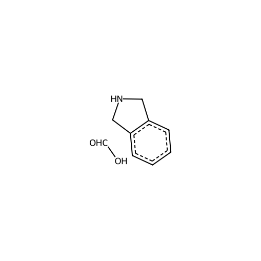 O=CO.c1ccc2c(c1)CNC2